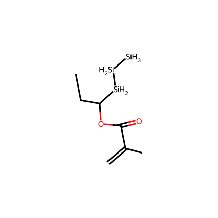 C=C(C)C(=O)OC(CC)[SiH2][SiH2][SiH3]